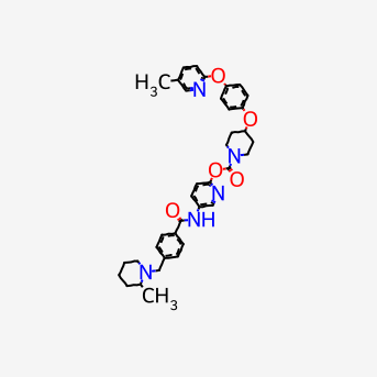 Cc1ccc(Oc2ccc(OC3CCN(C(=O)Oc4ccc(NC(=O)c5ccc(CN6CCCCC6C)cc5)cn4)CC3)cc2)nc1